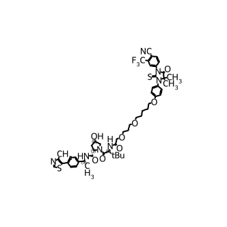 Cc1ncsc1-c1ccc([C@H](C)NC(=O)[C@@H]2C[C@@H](O)CN2C(=O)[C@@H](NC(=O)COCCCOCCCCCOc2ccc(N3C(=S)N(c4ccc(C#N)c(C(F)(F)F)c4)C(=O)C3(C)C)cc2)C(C)(C)C)cc1